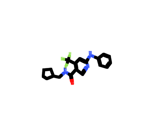 O=C(NCC1CCCC1)c1cnc(Nc2ccccc2)cc1C(F)(F)F